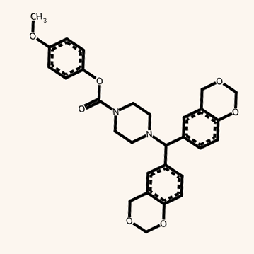 COc1ccc(OC(=O)N2CCN(C(c3ccc4c(c3)COCO4)c3ccc4c(c3)COCO4)CC2)cc1